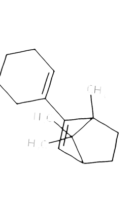 CC12CCC(C=C1C1=CCCCC1)C2(C)C